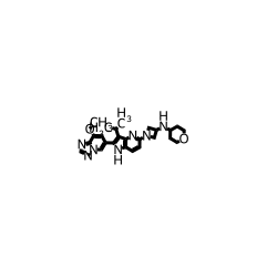 COc1cc(-c2[nH]c3ccc(N4CC(NC5CCOCC5)C4)nc3c2C(C)C)cn2ncnc12